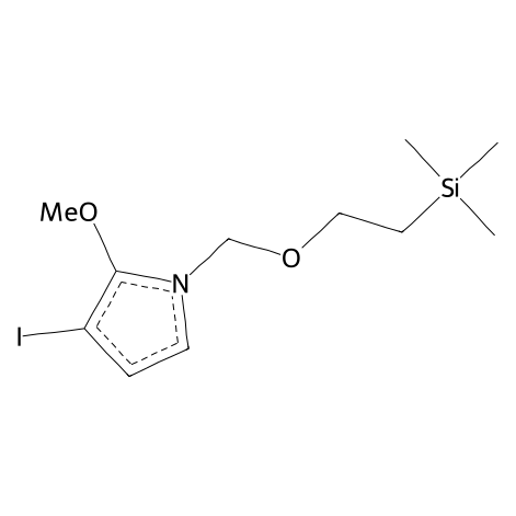 COc1c(I)ccn1COCC[Si](C)(C)C